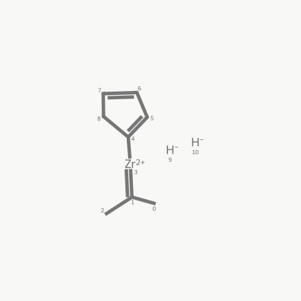 C[C](C)=[Zr+2][C]1=CC=CC1.[H-].[H-]